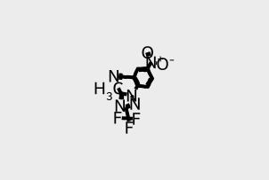 Cc1nc(C(F)(F)F)nn1-c1ccc([N+](=O)[O-])cc1C#N